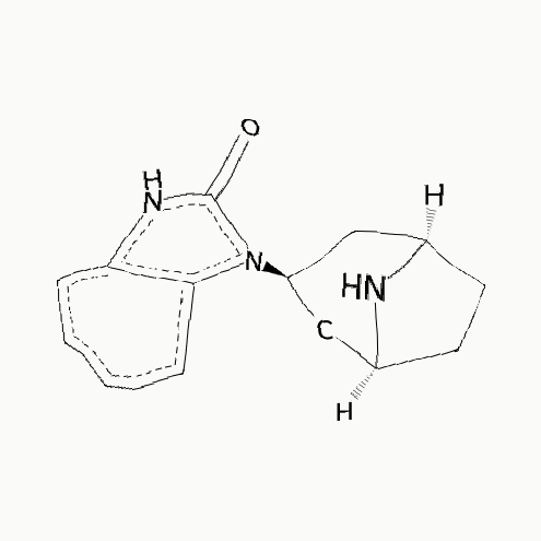 O=c1[nH]c2ccccc2n1[C@H]1C[C@H]2CC[C@@H](C1)N2